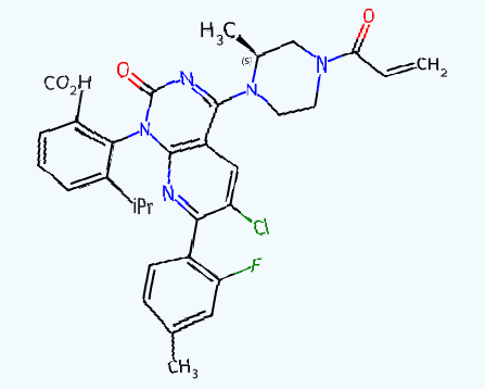 C=CC(=O)N1CCN(c2nc(=O)n(-c3c(C(=O)O)cccc3C(C)C)c3nc(-c4ccc(C)cc4F)c(Cl)cc23)[C@@H](C)C1